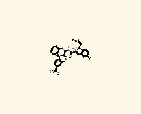 C=N/N=C\N(N)c1ccc(Cl)cc1/C=C/C(=O)N[C@@H](Cc1ccccc1)C(=O)Nc1ccc(C(=O)O)cc1F